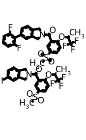 CC(Oc1ccc(S(C)(=O)=O)cc1C(=O)N1Cc2ccc(-c3c(F)cccc3F)cc2C1)C(F)(F)F.C[C@H](Oc1ccc(S(C)(=O)=O)cc1C(=O)N1Cc2ccc(I)cc2C1)C(F)(F)F